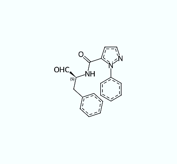 O=C[C@H](Cc1ccccc1)NC(=O)c1ccnn1-c1ccccc1